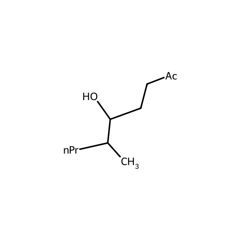 CCCC(C)C(O)CCC(C)=O